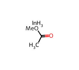 COC(C)=O.[InH3]